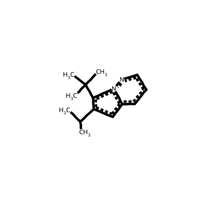 CC(C)c1cc2cccnn2c1C(C)(C)C